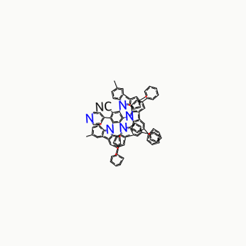 Cc1ccc2c(c1)c1cc(C)ccc1n2-c1c(C#N)c(-c2ccncc2)c(-n2c3ccc(C)cc3c3cc(C)ccc32)c(-n2c3ccc(-c4ccccc4)cc3c3cc(-c4ccccc4)ccc32)c1-n1c2ccc(-c3ccccc3)cc2c2cc(-c3ccccc3)ccc21